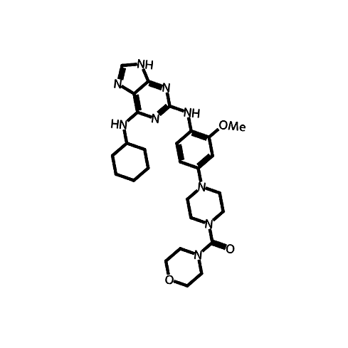 COc1cc(N2CCN(C(=O)N3CCOCC3)CC2)ccc1Nc1nc(NC2CCCCC2)c2nc[nH]c2n1